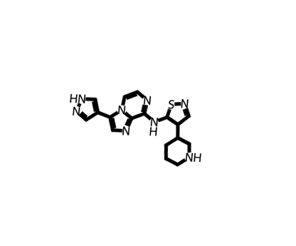 C1=NSC(Nc2nccn3c(-c4cn[nH]c4)cnc23)C1C1CCCNC1